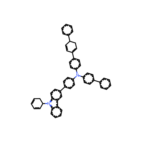 C1=CCC(n2c3ccccc3c3cc(-c4ccc(N(c5ccc(C6=CCC(c7ccccc7)C=C6)cc5)c5ccc(-c6ccccc6)cc5)cc4)ccc32)C=C1